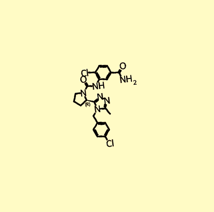 Cc1nnc([C@H]2CCCN2C(=O)Nc2cc(C(N)=O)ccc2Cl)n1Cc1ccc(Cl)cc1